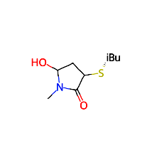 CC[C@@H](C)SC1CC(O)N(C)C1=O